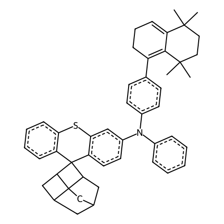 CC1(C)CCC(C)(C)C2=C(c3ccc(N(c4ccccc4)c4ccc5c(c4)Sc4ccccc4C54C5CC6CC7CC4C75C6)cc3)CCC=C21